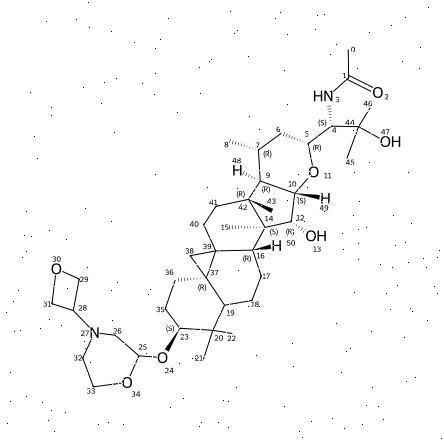 CC(=O)N[C@@H]([C@H]1C[C@@H](C)[C@H]2[C@H](O1)[C@H](O)[C@@]1(C)[C@@H]3CCC4C(C)(C)[C@@H](OC5CN(C6COC6)CCO5)CC[C@@]45CC35CC[C@]21C)C(C)(C)O